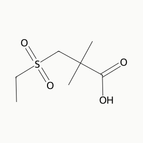 CCS(=O)(=O)CC(C)(C)C(=O)O